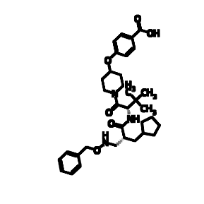 CC(C)(C)[C@H](NC(=O)[C@@H](CNOCc1ccccc1)CC1CCCC1)C(=O)N1CCC(Oc2ccc(C(=O)O)cc2)CC1